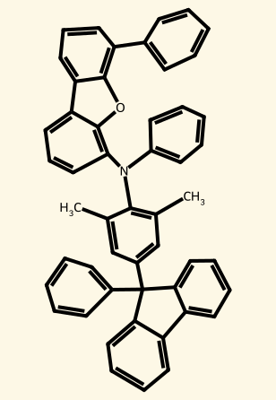 Cc1cc(C2(c3ccccc3)c3ccccc3-c3ccccc32)cc(C)c1N(c1ccccc1)c1cccc2c1oc1c(-c3ccccc3)cccc12